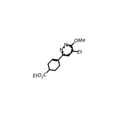 CCOC(=O)C1CC=C(c2cc(CC)c(OC)nn2)CC1